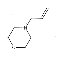 C=CC[N+]1CCOCC1